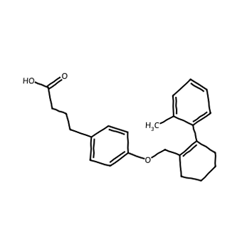 Cc1ccccc1C1=C(COc2ccc(CCCC(=O)O)cc2)CCCC1